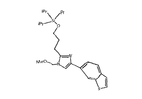 COCn1cc(-c2ccc3ccsc3c2)nc1CCCO[Si](C(C)C)(C(C)C)C(C)C